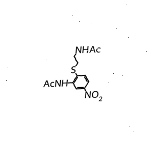 CC(=O)NCCSc1ccc([N+](=O)[O-])cc1NC(C)=O